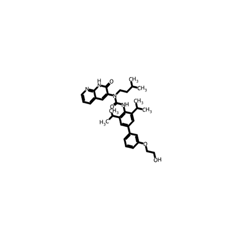 CC(C)CCN(C(=O)Nc1c(C(C)C)cc(-c2cccc(OCCO)c2)cc1C(C)C)c1cc2cccnc2[nH]c1=O